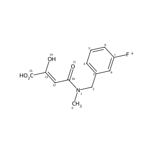 CN(Cc1cccc(F)c1)C(=O)C=C(O)C(=O)O